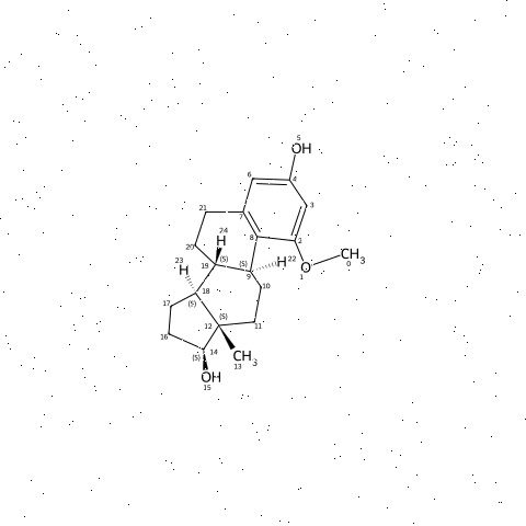 COc1cc(O)cc2c1[C@H]1CC[C@]3(C)[C@@H](O)CC[C@H]3[C@@H]1CC2